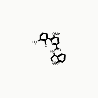 COc1ccc(C(=O)NC(CC(=O)O)c2ccccc2Cl)nc1-c1cccc(C)c1Cl